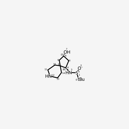 CC(C)(C)[S+]([O-])N[C@@H]1C[C@@H](O)CC12CCNCC2